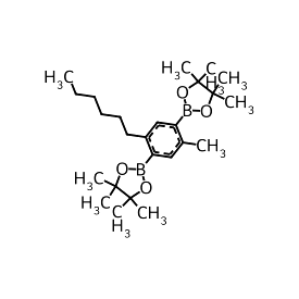 CCCCCCc1cc(B2OC(C)(C)C(C)(C)O2)c(C)cc1B1OC(C)(C)C(C)(C)O1